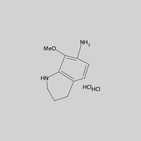 COc1c(N)ccc2c1NCCC2.Cl.Cl